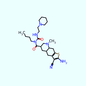 CCCCN(C(=O)NCCN1CCCCC1)C(=O)C1CC2Cc3c(sc(N)c3C#N)CC2N(C)C1